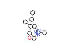 c1ccc(-c2ccc(-c3ccc(-c4ccc5oc6cccc(-c7nc(-c8ccccc8)nc(-c8ccccc8)n7)c6c5c4)cc3-c3ccccc3)cc2)cc1